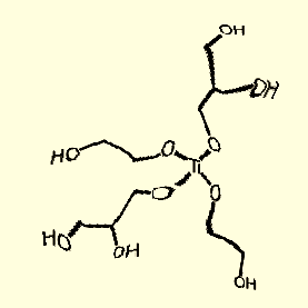 OCC[O][Ti]([O]CCO)([O]CC(O)CO)[O]CC(O)CO